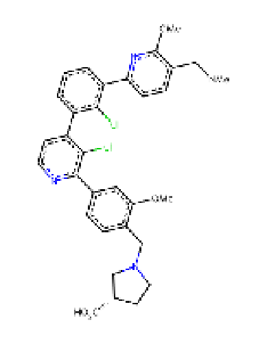 CNCc1ccc(-c2cccc(-c3ccnc(-c4ccc(CN5CC[C@H](C(=O)O)C5)c(OC)c4)c3Cl)c2Cl)nc1OC